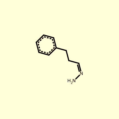 N/N=C\CCc1ccccc1